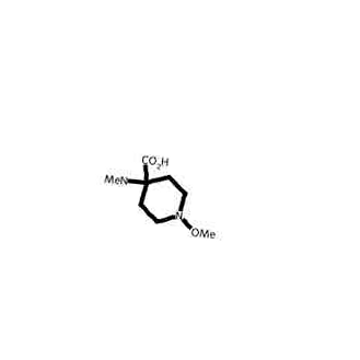 CNC1(C(=O)O)CCN(OC)CC1